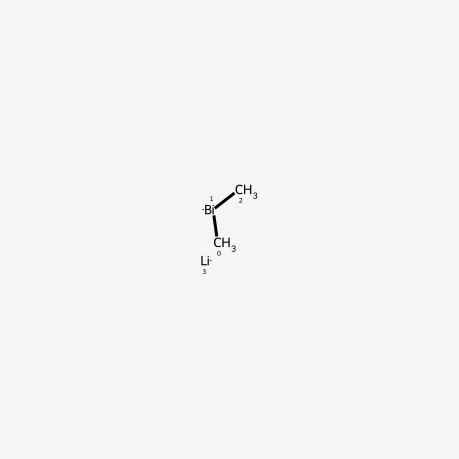 [CH3][Bi][CH3].[Li]